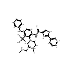 CNC[C@H]1CN(c2c(NC(=O)c3csc(-c4ccnnc4)n3)ccc(Oc3ccccc3)c2C(F)(F)F)CCN1C